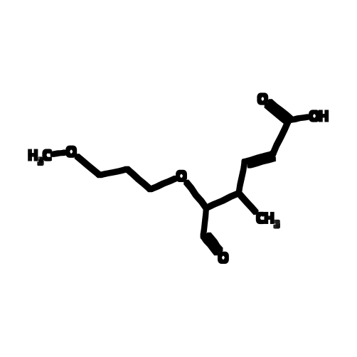 COCCCOC(C=O)C(C)C=CC(=O)O